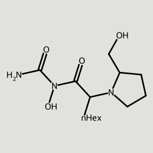 CCCCCCC(C(=O)N(O)C(N)=O)N1CCCC1CO